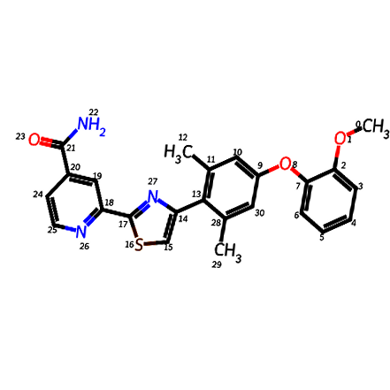 COc1ccccc1Oc1cc(C)c(-c2csc(-c3cc(C(N)=O)ccn3)n2)c(C)c1